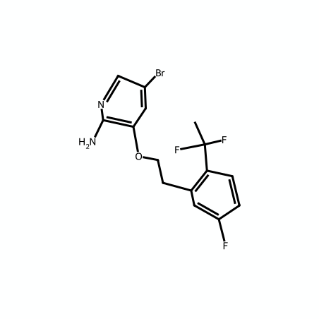 CC(F)(F)c1ccc(F)cc1CCOc1cc(Br)cnc1N